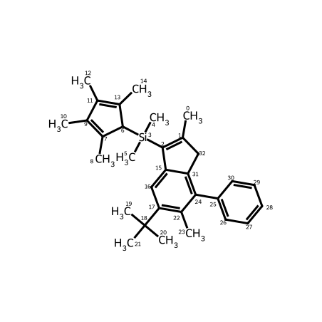 CC1=C([Si](C)(C)C2C(C)=C(C)C(C)=C2C)c2cc(C(C)(C)C)c(C)c(-c3ccccc3)c2C1